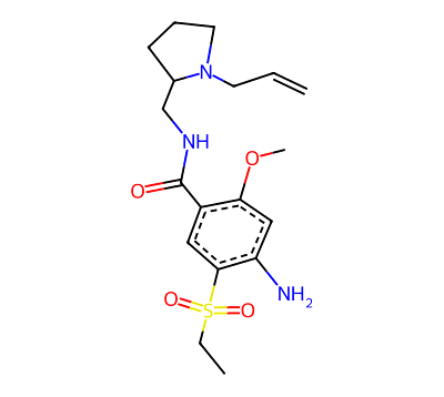 C=CCN1CCCC1CNC(=O)c1cc(S(=O)(=O)CC)c(N)cc1OC